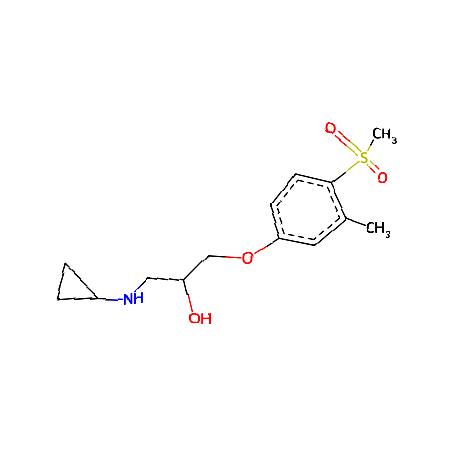 Cc1cc(OCC(O)CNC2CC2)ccc1S(C)(=O)=O